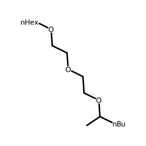 CCCCCCOCCOCCOC(C)CCCC